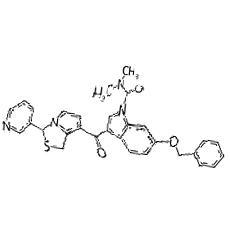 CN(C)C(=O)n1cc(C(=O)c2ccn3c2CSC3c2cccnc2)c2ccc(OCc3ccccc3)cc21